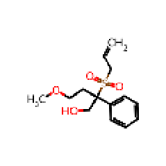 C=CCS(=O)(=O)C(CO)(CCOC)c1ccccc1